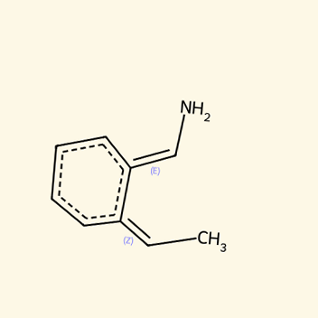 C/C=c1/cccc/c1=C\N